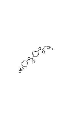 [C-]#[N+]c1ccc(OC(=O)c2ccc(OC(=O)CC)cc2)cc1